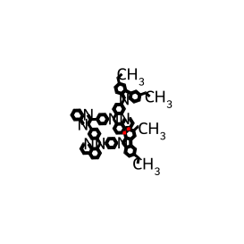 CCc1ccc2c(c1)c1cc(CC)ccc1n2-c1ccc(N(c2ccc(-c3nc4ccccc4nc3-c3ccc(N(c4ccc(-n5c6ccc(CC)cc6c6cc(CC)ccc65)cc4)c4cccc5cccnc45)cc3)cc2)c2cccc3cccnc23)cc1